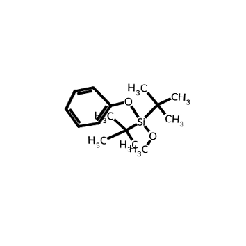 CO[Si](Oc1ccccc1)(C(C)(C)C)C(C)(C)C